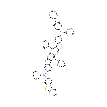 c1ccc(-c2c3cc4oc5cc(N(c6ccccc6)c6ccc7c(c6)sc6ccccc67)ccc5c4c(-c4ccccc4)c3cc3oc4cc(N(c5ccccc5)c5ccc6c(c5)sc5ccccc56)ccc4c23)cc1